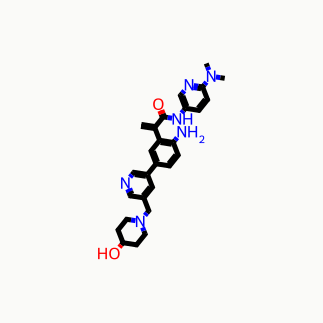 C=C(C(=O)Nc1ccc(N(C)C)nc1)c1cc(-c2cncc(CN3CCC(O)CC3)c2)ccc1N